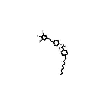 CCCCCCCCc1ccc(C(F)(F)Oc2ccc(CCc3cc(F)c(F)c(F)c3)cc2)cc1